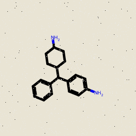 Nc1ccc(C(c2ccccc2)C2CCC(N)CC2)cc1